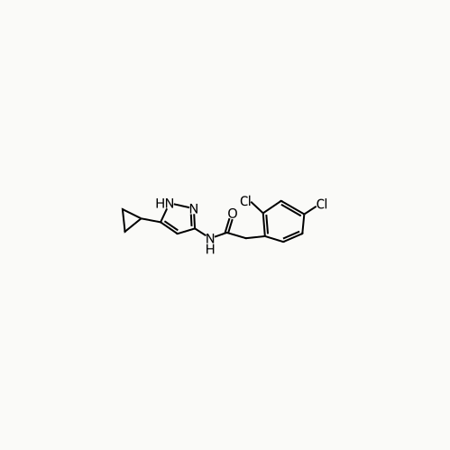 O=C(Cc1ccc(Cl)cc1Cl)Nc1cc(C2CC2)[nH]n1